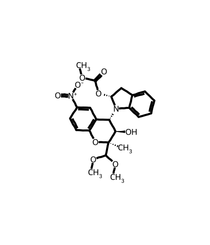 COC(=O)O[C@@H]1Cc2ccccc2N1[C@H]1c2cc([N+](=O)[O-])ccc2O[C@](C)(C(OC)OC)[C@@H]1O